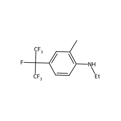 CCNc1ccc(C(F)(C(F)(F)F)C(F)(F)F)cc1C